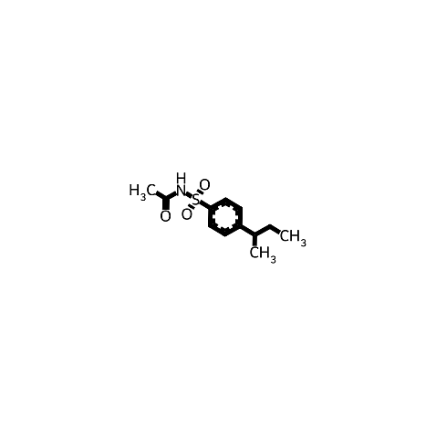 CCC(C)c1ccc(S(=O)(=O)NC(C)=O)cc1